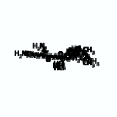 CCC(CCC(C)[C@H]1CC[C@H]2[C@@H]3CC=C4C[C@@H](OC(=O)CCCCC(=O)N(CCCN)CCCCNCCCN)CC[C@]4(C)[C@H]3CC[C@]12C)C(C)C.Cl.Cl.Cl